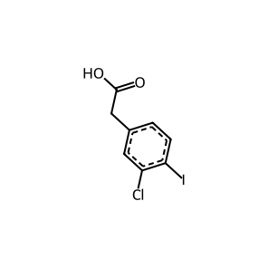 O=C(O)Cc1ccc(I)c(Cl)c1